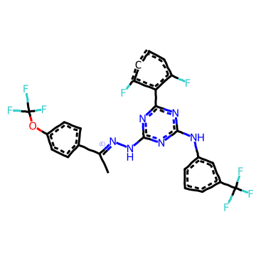 C/C(=N\Nc1nc(Nc2cccc(C(F)(F)F)c2)nc(-c2c(F)cccc2F)n1)c1ccc(OC(F)(F)F)cc1